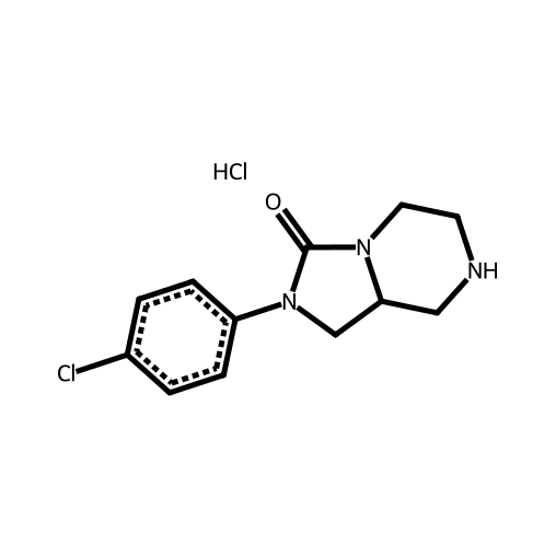 Cl.O=C1N(c2ccc(Cl)cc2)CC2CNCCN12